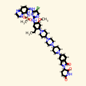 CCc1cc(Nc2ncc(Br)c(Nc3ccc4nccnc4c3NS(C)(=O)=O)n2)c(OC)cc1N1CCC(N2CCN(C3CCN(c4ccc5c(c4)CN(C4CCC(=O)NC4=O)C5=O)CC3)CC2)CC1